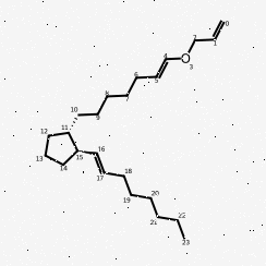 C=CCO/C=C/CCCCC[C@H]1CCC[C@@H]1/C=C/CCCCCC